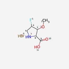 Br.COC1C(F)CNC1C(=O)O